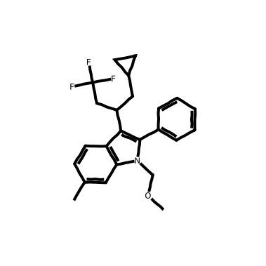 COCn1c(-c2ccccc2)c(C(CC2CC2)CC(F)(F)F)c2ccc(C)cc21